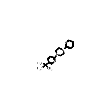 CC(C)(C)c1ccc(N2CCN(c3ccccn3)CC2)nc1